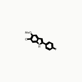 COc1cc2cc(-c3ccc(F)cc3)[nH]c2cc1Cl